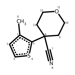 Cc1ccsc1C1(C#N)CCOCC1